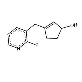 OC1C=C(Cc2cccnc2F)CC1